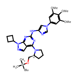 COc1cc(-n2cnc(Nc3nc(N4CCC[C@H]4CO[Si](C)(C)C(C)(C)C)c4cnn(C5CCC5)c4n3)c2)cc(OC)c1OC